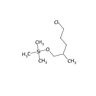 CC(CCCCl)CO[Si](C)(C)C